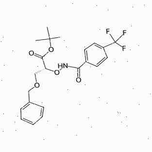 CC(C)(C)OC(=O)[C@@H](COCc1ccccc1)ONC(=O)c1ccc(C(F)(F)F)cc1